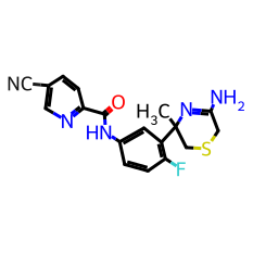 CC1(c2cc(NC(=O)c3ccc(C#N)cn3)ccc2F)CSCC(N)=N1